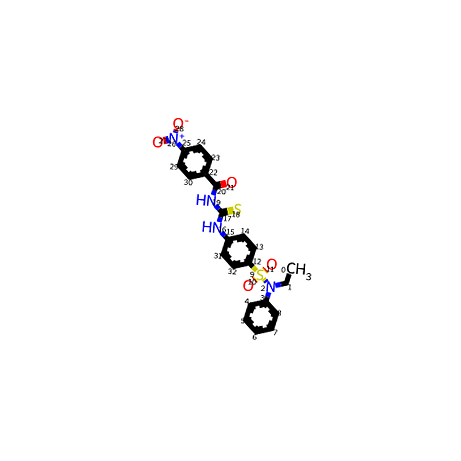 CCN(c1ccccc1)S(=O)(=O)c1ccc(NC(=S)NC(=O)c2ccc([N+](=O)[O-])cc2)cc1